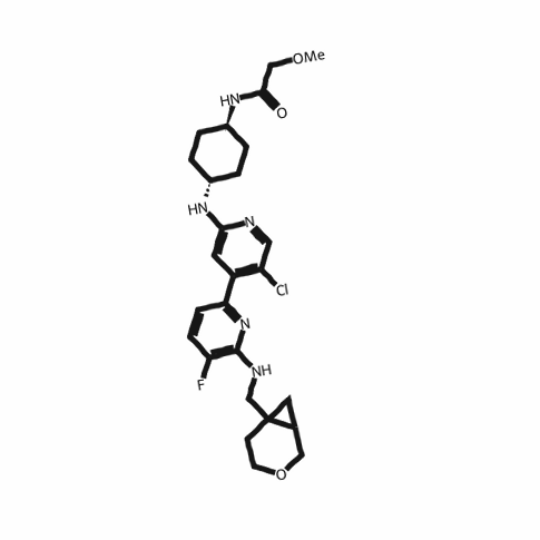 COCC(=O)N[C@H]1CC[C@H](Nc2cc(-c3ccc(F)c(NCC45CCOCC4C5)n3)c(Cl)cn2)CC1